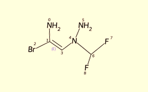 N/C(Br)=C\N(N)C(F)F